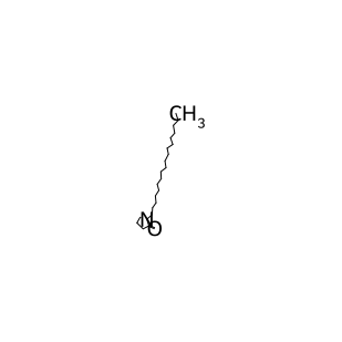 CCCCCCCCCCCCCCCCCCN1CCCC1=O